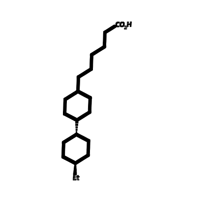 CC[C@H]1CC[C@H](C2CCC(CCCCCC(=O)O)CC2)CC1